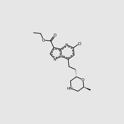 CCOC(=O)c1cnn2c(CC[C@H]3CNC[C@H](C)O3)cc(Cl)nc12